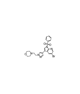 O=S(=O)(c1ccccc1)n1cc(-c2cnn(CCN3CCOCC3)c2)c2cc(Br)cnc21